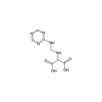 O=C(O)C(N[CH]Nc1ncncn1)C(=O)O